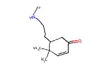 CCNCCC1CC(=O)C=CC1(C)C